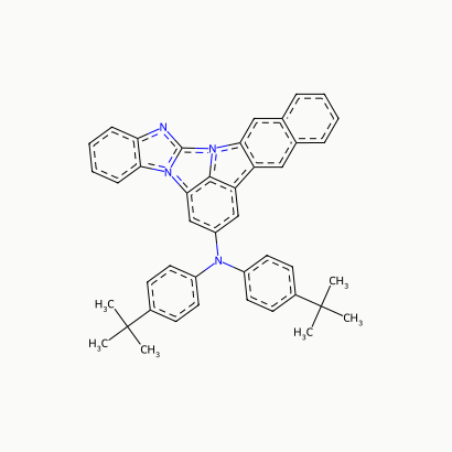 CC(C)(C)c1ccc(N(c2ccc(C(C)(C)C)cc2)c2cc3c4cc5ccccc5cc4n4c3c(c2)n2c3ccccc3nc24)cc1